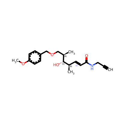 C#CCNC(=O)/C=C/[C@@H](C)[C@H](O)[C@H](C)COCc1ccc(OC)cc1